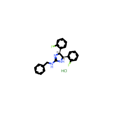 Cl.Fc1ccccc1[C@H]1NC(NCc2ccccc2)=N[C@H]1c1ccccc1F